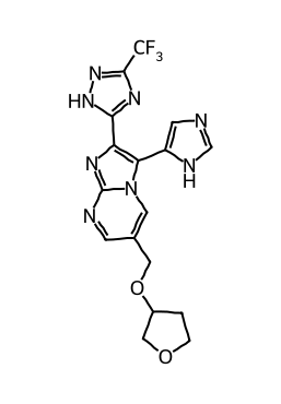 FC(F)(F)c1n[nH]c(-c2nc3ncc(COC4CCOC4)cn3c2-c2cnc[nH]2)n1